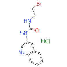 Cl.O=C(NCCBr)Nc1cnc2ccccc2c1